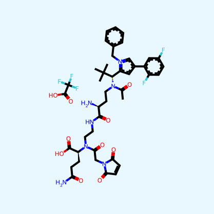 CC(=O)N(CC[C@H](N)C(=O)NCCN(C(=O)CN1C(=O)C=CC1=O)[C@@H](CCC(N)=O)C(=O)O)[C@@H](c1cc(-c2cc(F)ccc2F)cn1Cc1ccccc1)C(C)(C)C.O=C(O)C(F)(F)F